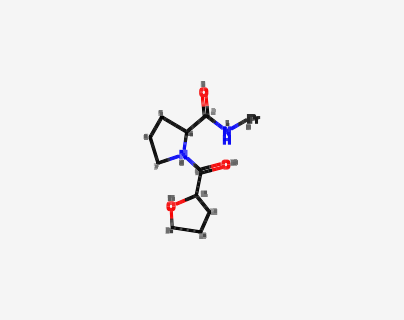 CC(C)NC(=O)C1CCCN1C(=O)C1CCCO1